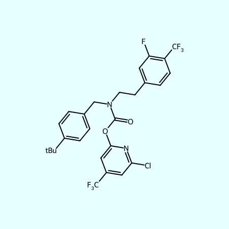 CC(C)(C)c1ccc(CN(CCc2ccc(C(F)(F)F)c(F)c2)C(=O)Oc2cc(C(F)(F)F)cc(Cl)n2)cc1